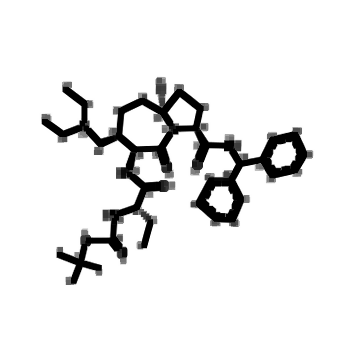 CC[C@H](NC(=O)OC(C)(C)C)C(=O)N[C@@H]1C(=O)N2[C@@H](CC[C@@H]1CN(CC)CC)CC[C@H]2C(=O)NC(c1ccccc1)c1ccccc1